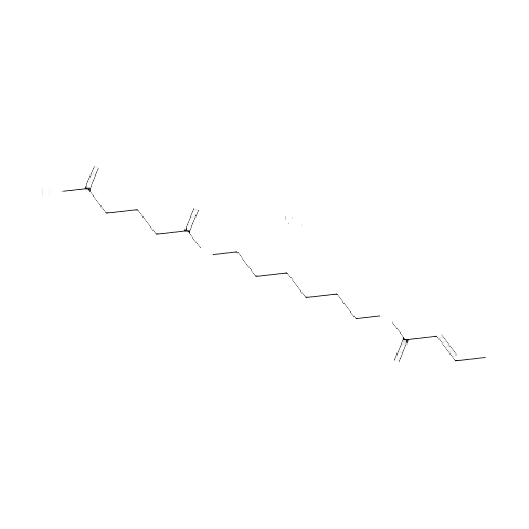 CC=CC(=O)OCCCCCCOC(=O)CCCC(=O)O.[MgH2]